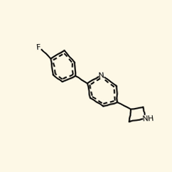 Fc1ccc(-c2ccc(C3CNC3)cn2)cc1